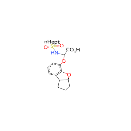 CCCCCCCS(=O)(=O)NC(Oc1cccc2c1OC1CCCC21)C(=O)O